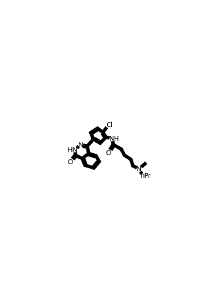 CCCN(C)CCCCC(=O)Nc1cc(-c2n[nH]c(=O)c3ccccc23)ccc1Cl